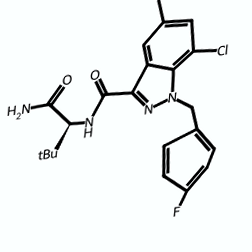 CC(C)(C)[C@H](NC(=O)c1nn(Cc2ccc(F)cc2)c2c(Cl)cc(Cl)cc12)C(N)=O